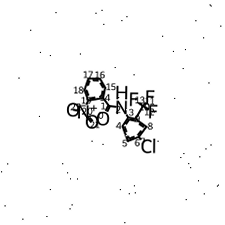 O=C(Nc1ccc(Cl)cc1C(F)(F)F)c1ccccc1[N+](=O)[O-]